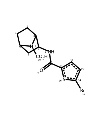 O=C(NC1CC2CCC1N2C(=O)O)c1ccc(Br)s1